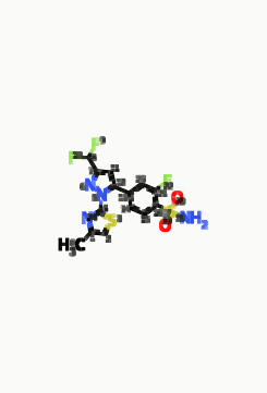 Cc1csc(-n2nc(C(F)F)cc2-c2ccc(S(N)(=O)=O)c(F)c2)n1